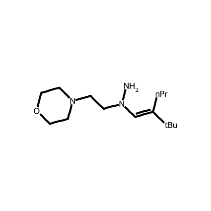 CCC/C(=C\N(N)CCN1CCOCC1)C(C)(C)C